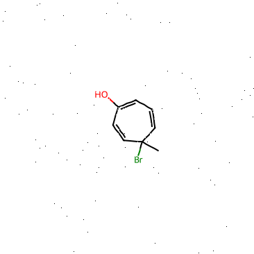 CC1(Br)C=CC=C(O)C=C1